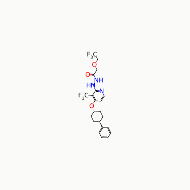 O=C(COCC(F)(F)F)NNc1nccc(O[C@H]2CC[C@H](c3ccccc3)CC2)c1C(F)(F)F